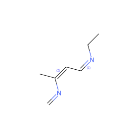 C=N/C(C)=C\C=N/CC